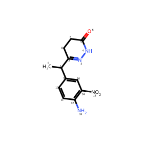 CC(C1=NNC(=O)CC1)c1ccc(N)c([N+](=O)[O-])c1